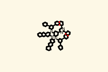 c1ccc(-c2cc(-c3ccccc3)cc(N3c4cc5cc6ccccc6cc5cc4B4c5cc6cc7ccccc7cc6cc5N(c5cc(-c6ccccc6)cc(-c6ccccc6)c5)c5cc(-c6cc(-c7ccccc7)nc(-c7ccccc7)n6)cc3c54)c2)cc1